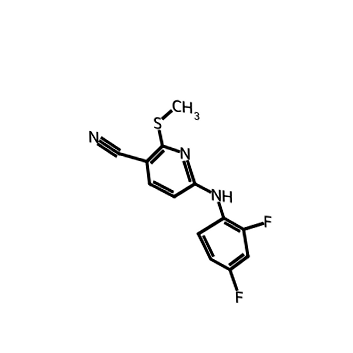 CSc1nc(Nc2ccc(F)cc2F)ccc1C#N